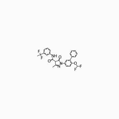 CC1=NN(c2ccc(OC(F)F)c(-c3ccccc3)c2)C(=O)C1C(=O)Nc1cccc(C(C)(F)F)c1